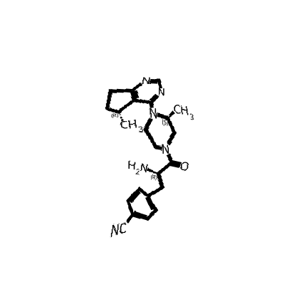 C[C@@H]1CCc2ncnc(N3CCN(C(=O)[C@H](N)Cc4ccc(C#N)cc4)C[C@@H]3C)c21